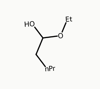 CCCCC(O)OCC